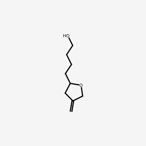 C=C1COC(CCCCO)C1